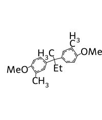 CCC(C)(c1ccc(OC)c(C)c1)c1ccc(OC)c(C)c1